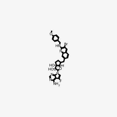 COc1ccc(CNc2nc3cc(CC4CC[C@@]5(O)[C@@H]4O[C@@H](n4cc(F)c6c(N)ncnc64)[C@@H]5O)ccc3cc2Br)cc1